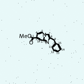 COC(=O)c1ccn2cc(Cc3ccccc3)nc2c1